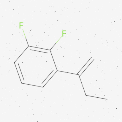 C=C(CC)c1cccc(F)c1F